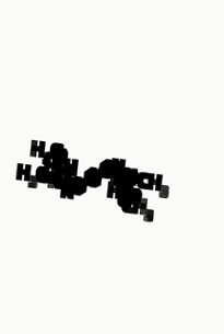 CCCN(Cc1nc2ccc(-c3ccc(-c4ccc5nc(CN(CCC)C(=O)CNC(=O)OC)[nH]c5c4)cc3)cc2[nH]1)C(=O)CNC(=O)OC